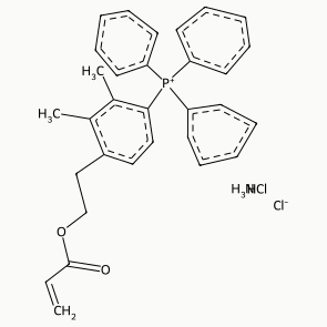 C=CC(=O)OCCc1ccc([P+](c2ccccc2)(c2ccccc2)c2ccccc2)c(C)c1C.Cl.N.[Cl-]